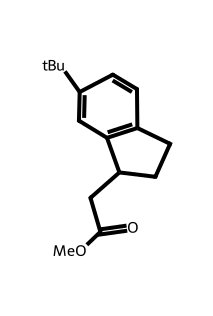 COC(=O)CC1CCc2ccc(C(C)(C)C)cc21